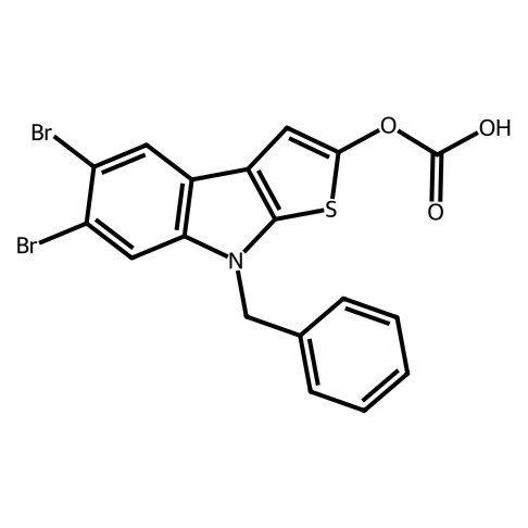 O=C(O)Oc1cc2c3cc(Br)c(Br)cc3n(Cc3ccccc3)c2s1